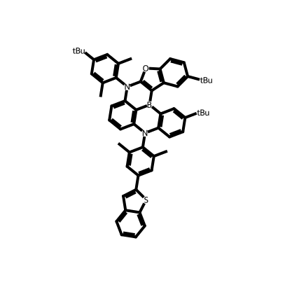 Cc1cc(-c2cc3ccccc3s2)cc(C)c1N1c2ccc(C(C)(C)C)cc2B2c3c1cccc3N(c1c(C)cc(C(C)(C)C)cc1C)c1oc3ccc(C(C)(C)C)cc3c12